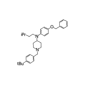 CC(C)CCN(c1ccc(OCc2ccccc2)cc1)C1CCN(Cc2ccc(C(C)(C)C)cc2)CC1